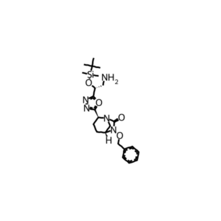 CC(C)(C)[Si](C)(C)O[C@H](CN)c1nnc([C@@H]2CC[C@@H]3CN2C(=O)N3OCc2ccccc2)o1